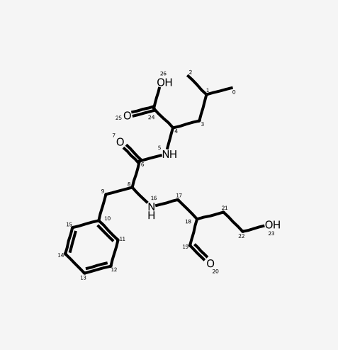 CC(C)CC(NC(=O)C(Cc1ccccc1)NCC(C=O)CCO)C(=O)O